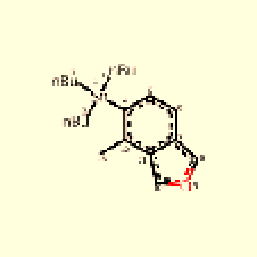 CCC[CH2][Sn]([CH2]CCC)([CH2]CCC)[c]1ccc2cocc2c1C